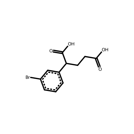 O=C(O)CCC(C(=O)O)c1cccc(Br)c1